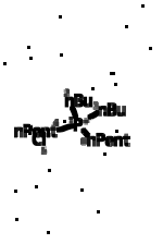 CCCCC[P+](CCCC)(CCCC)CCCCC.[Cl-]